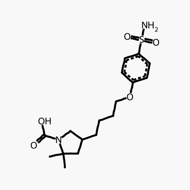 CC1(C)CC(CCCCOc2ccc(S(N)(=O)=O)cc2)CN1C(=O)O